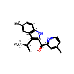 Cc1ccnc(C(=O)c2[nH]c3ccc(C(C)(C)C)cc3c2C(C)C(=O)O)c1